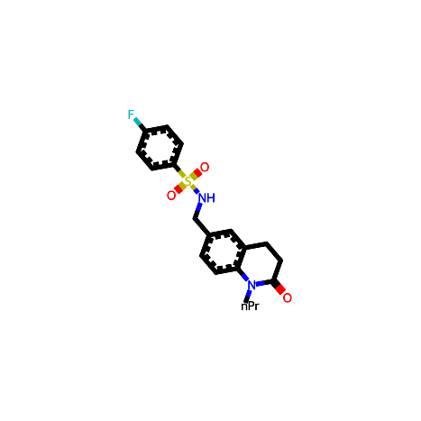 CCCN1C(=O)CCc2cc(CNS(=O)(=O)c3ccc(F)cc3)ccc21